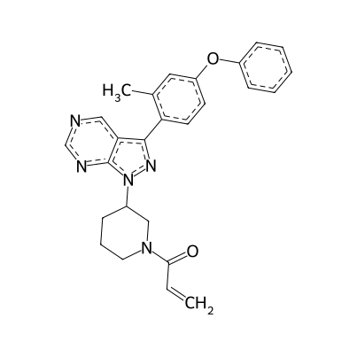 C=CC(=O)N1CCCC(n2nc(-c3ccc(Oc4ccccc4)cc3C)c3cncnc32)C1